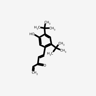 C=CC(=O)C=Cc1cc(O)c(C(C)(C)C)cc1C(C)(C)C